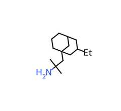 CCC1CC2CCCC(CC(C)(C)N)(C1)C2